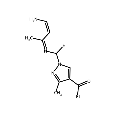 CCC(=O)c1cn(C(CC)/N=C(C)\C=C/N)nc1C